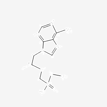 CCCCOP(=O)(O)CO[C@H](C)Cn1cnc2c(N)ncnc21